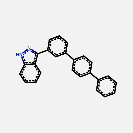 c1ccc(-c2ccc(-c3cccc(-c4n[nH]c5ccccc45)c3)cc2)cc1